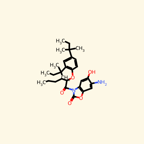 CCCCC(Oc1ccc(C(C)(C)CC)cc1C(C)(C)CC)C(=O)n1c(=O)oc2cc(N)c(O)cc21